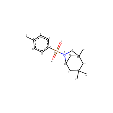 Cc1ccc(S(=O)(=O)N2CC3(C)CC2CC(C)(C)C3)cc1